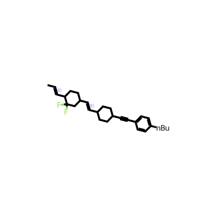 C/C=C/C1CCC(/C=C/C2CCC(C#Cc3ccc(CCCC)cc3)CC2)CC1(F)F